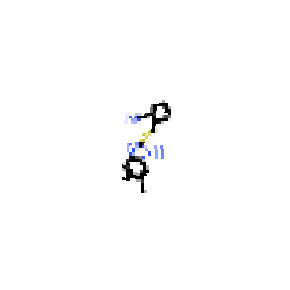 Cc1cc2nc(SCc3ccccc3C#N)[nH]c2cc1C